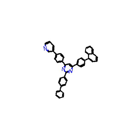 c1c(-c2cc(-c3ccc(-c4cccnc4)cc3)nc(-c3ccc(-c4ccccc4)cc3)n2)ccc(-c2cccc3ccccc23)c#1